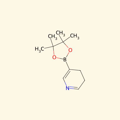 CC1(C)OB(C2=CN=CCC2)OC1(C)C